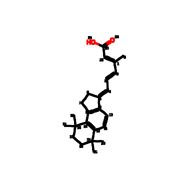 CC(C=CC=C1CCc2c1ccc1c2C(C)(C)CCC1(C)C)=CC(=O)O